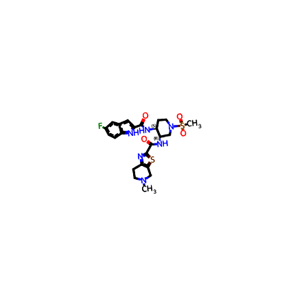 CN1CCc2nc(C(=O)N[C@@H]3CN(S(C)(=O)=O)CC[C@@H]3NC(=O)c3cc4cc(F)ccc4[nH]3)sc2C1